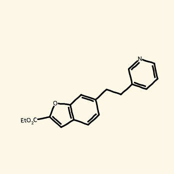 CCOC(=O)c1cc2ccc(CCc3cccnc3)cc2o1